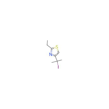 CCc1nc(C(C)(C)I)cs1